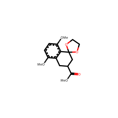 COC(=O)C1Cc2c(OC)ccc(OC)c2C2(C1)OCCO2